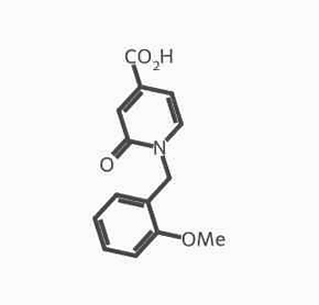 COc1ccccc1Cn1ccc(C(=O)O)cc1=O